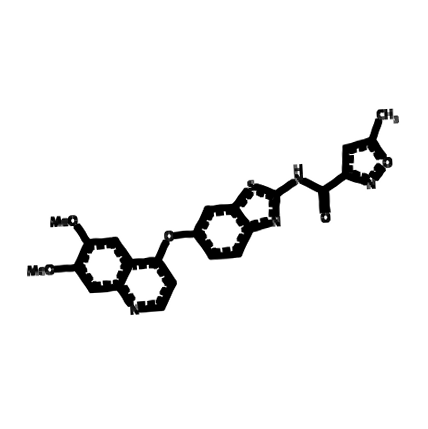 COc1cc2nccc(Oc3ccc4nc(NC(=O)c5cc(C)on5)sc4c3)c2cc1OC